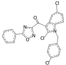 O=C(c1noc(-c2ccccc2)n1)c1c(Cl)n(Cc2ccc(Cl)cc2)c2ccc(Cl)cc12